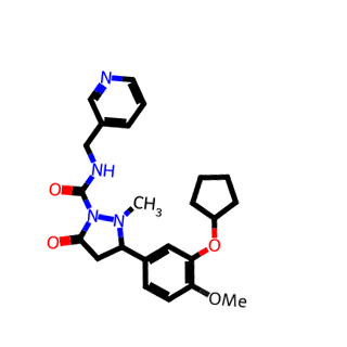 COc1ccc(C2CC(=O)N(C(=O)NCc3cccnc3)N2C)cc1OC1CCCC1